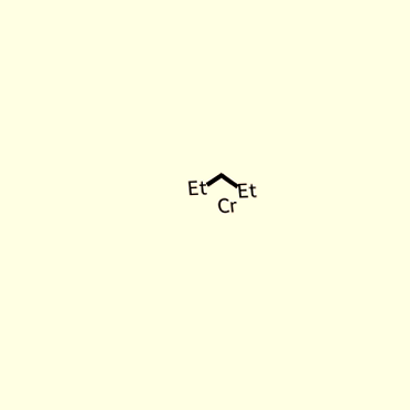 CCCCC.[Cr]